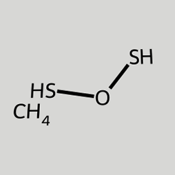 C.SOS